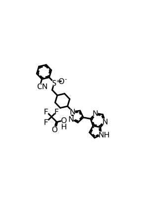 N#Cc1ccccc1[S+]([O-])CC1CCC(n2cc(-c3ncnc4[nH]ccc34)cn2)CC1.O=C(O)C(F)(F)F